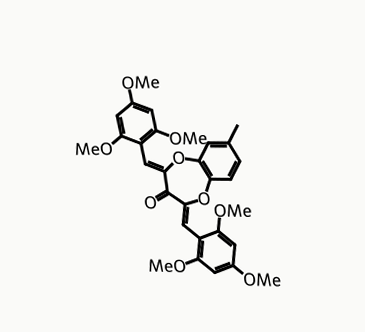 COc1cc(OC)c(/C=C2\Oc3ccc(C)cc3O/C(=C\c3c(OC)cc(OC)cc3OC)C2=O)c(OC)c1